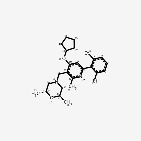 CCc1cccc(CC)c1-c1cc(OC2CCCC2)c(CN2C[C@@H](C)O[C@H](C)C2)c(C)n1